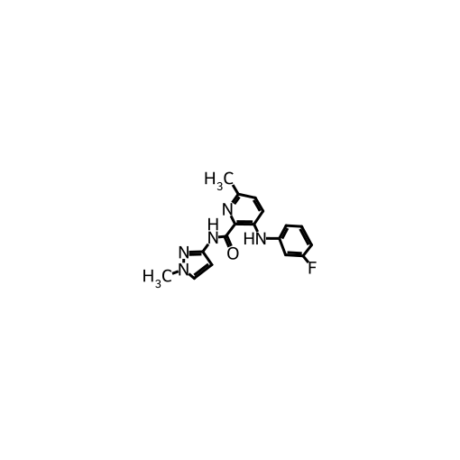 Cc1ccc(Nc2cccc(F)c2)c(C(=O)Nc2ccn(C)n2)n1